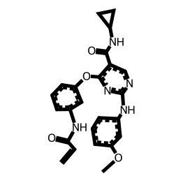 C=CC(=O)Nc1cccc(Oc2nc(Nc3cccc(OC)c3)ncc2C(=O)NC2CC2)c1